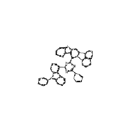 C1=CCC(c2nc(-c3c4c(cc5sc6ccccc6c35)-c3cccc5cccc-4c35)nc(-c3cccc4c3c3ccccc3n4-c3ccccc3)n2)C=C1